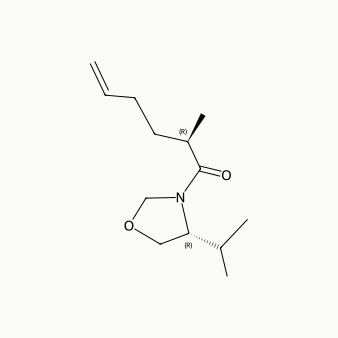 C=CCC[C@@H](C)C(=O)N1COC[C@H]1C(C)C